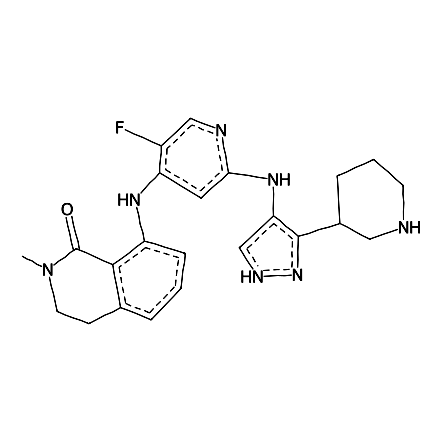 CN1CCc2cccc(Nc3cc(Nc4c[nH]nc4C4CCCNC4)ncc3F)c2C1=O